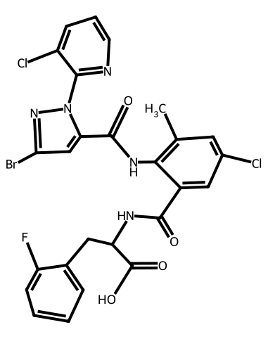 Cc1cc(Cl)cc(C(=O)NC(Cc2ccccc2F)C(=O)O)c1NC(=O)c1cc(Br)nn1-c1ncccc1Cl